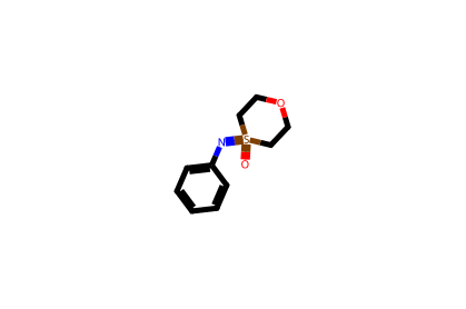 O=S1(=Nc2ccccc2)CCOCC1